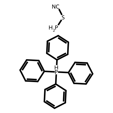 N#CSP.c1ccc([PH](c2ccccc2)(c2ccccc2)c2ccccc2)cc1